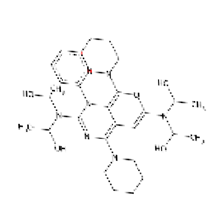 CC(O)N(C1=CC2=C(N3CCCCC3)N=C(N(C(C)O)C(C)O)N(c3ccccn3)C2=C(N2CCCCC2)O1)C(C)O